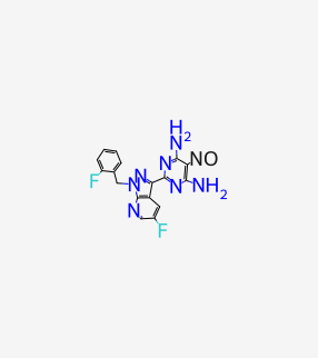 Nc1nc(-c2nn(Cc3ccccc3F)c3ncc(F)cc23)nc(N)c1N=O